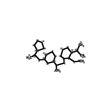 CCC1C(CC(C)N2CCOC(CC(C)N3CCCC3)C2)CCCN1C(C)C